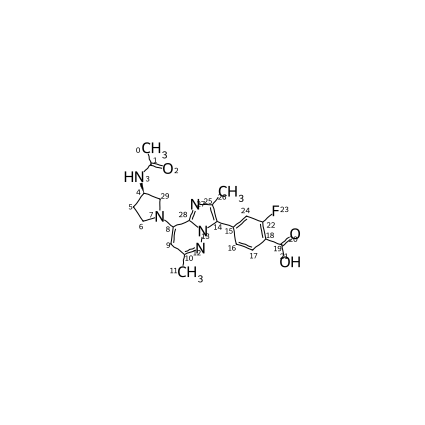 CC(=O)N[C@@H]1CCN(c2cc(C)nn3c(-c4ccc(C(=O)O)c(F)c4)c(C)nc23)C1